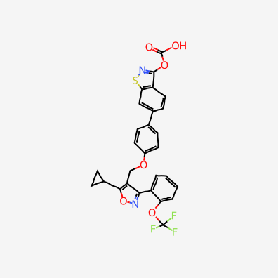 O=C(O)Oc1nsc2cc(-c3ccc(OCc4c(-c5ccccc5OC(F)(F)F)noc4C4CC4)cc3)ccc12